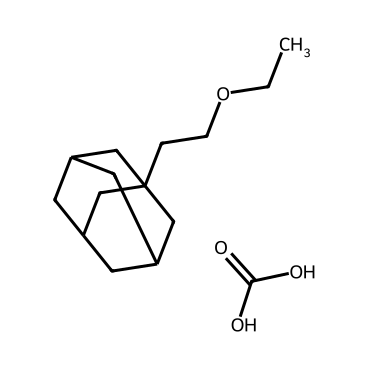 CCOCCC12CC3CC(CC(C3)C1)C2.O=C(O)O